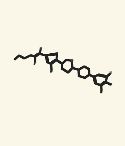 CCCC/C(F)=C(\F)c1ccc(C2CCC(C3CCC(c4cc(F)c(F)c(F)c4)CC3)OC2)c(F)c1